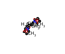 Cc1ccc(N(c2ccc3c(c2)C(C)(C)c2cc4c(cc2-3)C(C)(C)c2cccc3c(N(c5ccc(C)cc5)c5cccc6c5oc5c(-c7ccccc7)cccc56)ccc-4c23)c2cccc3c2oc2c(-c4ccccc4)cccc23)cc1